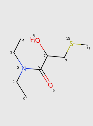 CCN(CC)C(=O)C(O)CSC